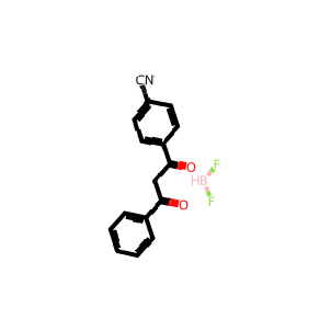 FBF.N#Cc1ccc(C(=O)CC(=O)c2ccccc2)cc1